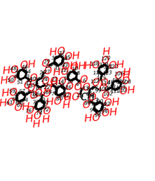 CC(O)[C@H](OC(=O)c1cc(O)c(O)c(O)c1Oc1cc(C(=O)O[C@@H]2OC(COC(=O)c3cc(O)c(O)c(O)c3)[C@@H](OC(=O)C3C=C(O)C(O)=C(O)C3)C(OC(=O)c3cc(O)c(O)c(O)c3)C2OC(=O)c2cc(O)c(O)c(O)c2)cc(O)c1O)OC(COC(=O)c1cc(O)c(O)c(O)c1)[C@H](COC(=O)c1cc(O)c(O)c(O)c1)OC(=O)c1cc(O)c(O)c(O)c1